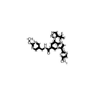 COc1ncc(CNC(=O)c2cc(-n3nncc3C(F)(F)F)c3ncc(-c4ncc(C)s4)n3c2)cn1